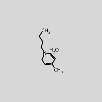 CCCCN1C=CC(C)=CC1.O